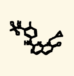 Cc1ccc(Nc2ncc3ccc(=O)n(CC4CC4)c3n2)cc1NS(C)(=O)=O